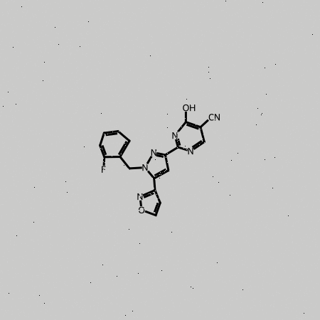 N#Cc1cnc(-c2cc(-c3ccon3)n(Cc3ccccc3F)n2)nc1O